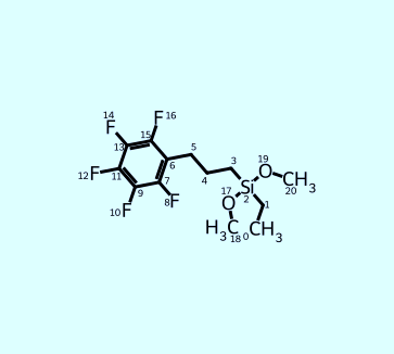 CC[Si](CCCc1c(F)c(F)c(F)c(F)c1F)(OC)OC